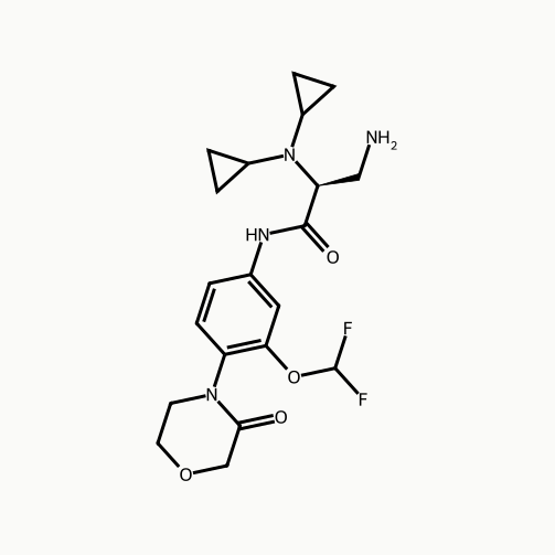 NC[C@@H](C(=O)Nc1ccc(N2CCOCC2=O)c(OC(F)F)c1)N(C1CC1)C1CC1